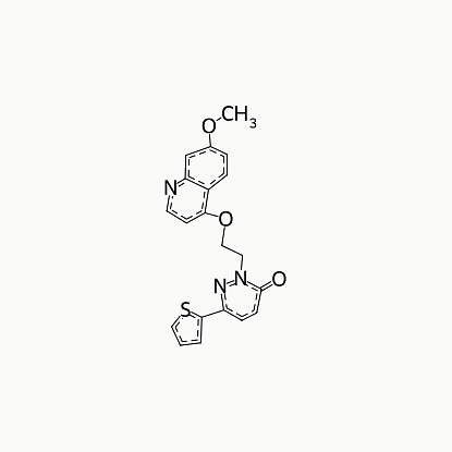 COc1ccc2c(OCCn3nc(-c4cccs4)ccc3=O)ccnc2c1